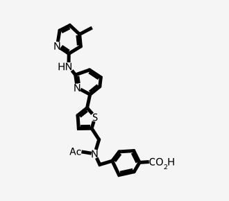 CC(=O)N(Cc1ccc(C(=O)O)cc1)Cc1ccc(-c2cccc(Nc3cc(C)ccn3)n2)s1